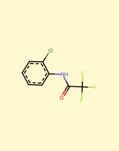 O=C(Nc1ccccc1Cl)C(F)(F)F